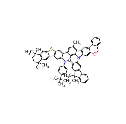 Cc1cc2c3c4c1c1cc5c(cc1n4-c1cc4c(cc1B3N(c1ccc(C(C)(C)C)cc1)c1cc3c(cc1-2)sc1cc2c(cc13)C(C)(C)CCC2(C)C)C(C)(C)c1ccccc1-4)OCc1ccccc1-5